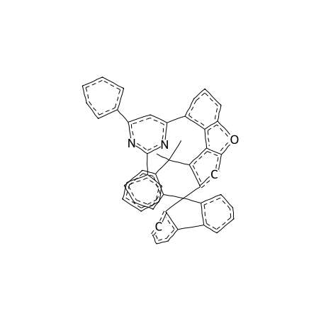 CC1(C)c2ccccc2C2(c3ccccc3-c3ccccc32)c2ccc3oc4cccc(-c5cc(-c6ccccc6)nc(-c6ccccc6)n5)c4c3c21